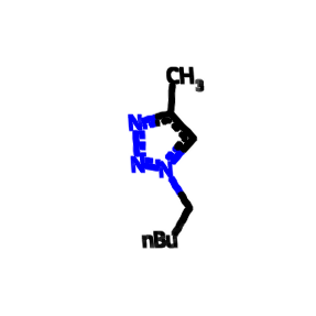 CCCCCn1cc(C)nn1